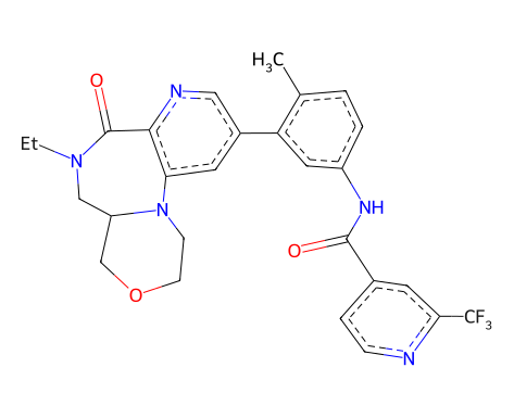 CCN1CC2COCCN2c2cc(-c3cc(NC(=O)c4ccnc(C(F)(F)F)c4)ccc3C)cnc2C1=O